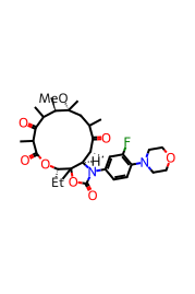 CC[C@@H]1OC(=O)C(C)C(=O)C(C)[C@@H](C)[C@](C)(OC)CC(C)C(=O)[C@H](C)[C@H]2N(c3ccc(N4CCOCC4)c(F)c3)C(=O)OC12C